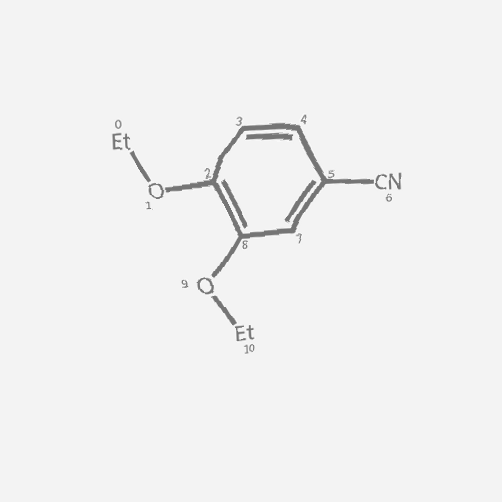 CCOc1ccc(C#N)cc1OCC